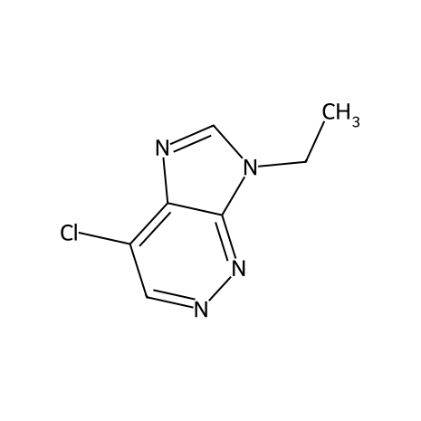 CCn1cnc2c(Cl)cnnc21